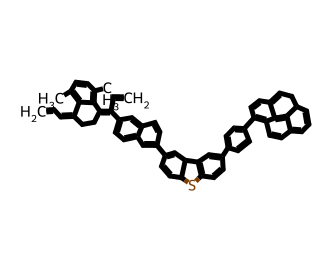 C=C/C=C1/CC/C(=C(/C=C)c2ccc3cc(C4=CC5c6cc(-c7ccc(-c8ccc9c%10c%11c(ccc8%10)=CC=CC%11CC=9)cc7)ccc6SC5C=C4)ccc3c2)c2c(C)ccc(C)c21